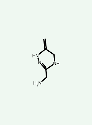 C=C1CNC(CN)=NN1